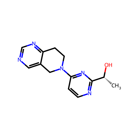 C[C@@H](O)c1nccc(N2CCc3ncncc3C2)n1